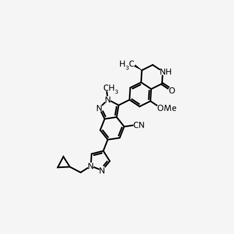 COc1cc(-c2c3c(C#N)cc(-c4cnn(CC5CC5)c4)cc3nn2C)cc2c1C(=O)NC[C@@H]2C